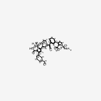 NS(=O)(=O)n1ccc(-c2cccc(C(=O)N3CCNC(c4cc(C5CCCN(CCl)C5)c(C(=O)O)n4S(N)(=O)=O)C3)c2)c1C(=O)O